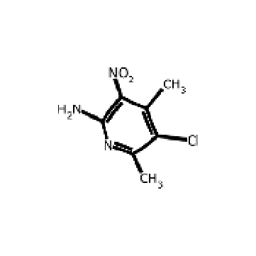 Cc1nc(N)c([N+](=O)[O-])c(C)c1Cl